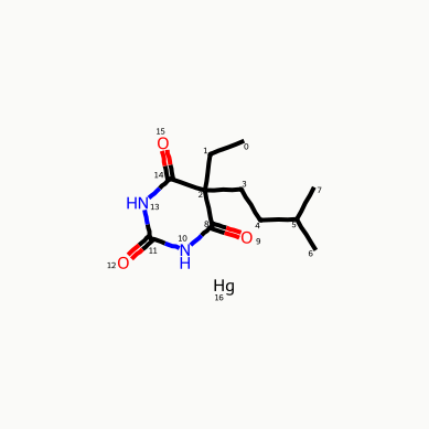 CCC1(CCC(C)C)C(=O)NC(=O)NC1=O.[Hg]